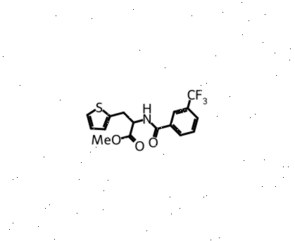 COC(=O)C(Cc1cccs1)NC(=O)c1cccc(C(F)(F)F)c1